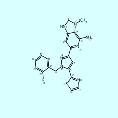 CN1CNc2nc(-c3cc(-c4nccs4)n(Cc4ccccc4F)n3)nc(N)c21